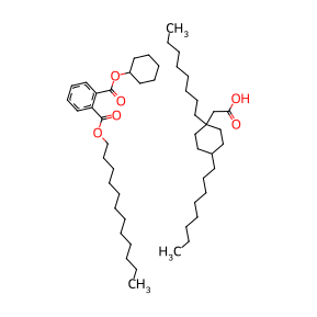 CCCCCCCCC1CCC(CCCCCCCC)(CC(=O)O)CC1.CCCCCCCCCCCCOC(=O)c1ccccc1C(=O)OC1CCCCC1